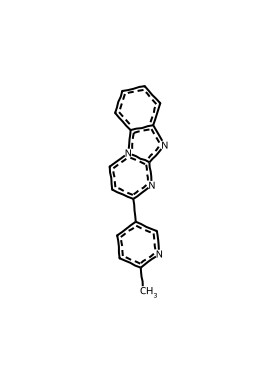 Cc1ccc(-c2ccn3c(n2)nc2ccccc23)cn1